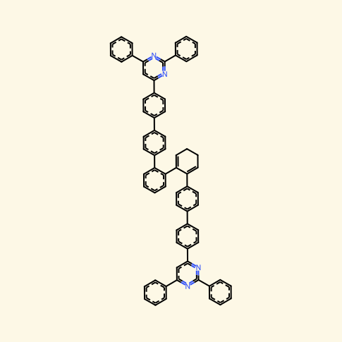 C1=C(c2ccc(-c3ccc(-c4cc(-c5ccccc5)nc(-c5ccccc5)n4)cc3)cc2)C(c2ccccc2-c2ccc(-c3ccc(-c4cc(-c5ccccc5)nc(-c5ccccc5)n4)cc3)cc2)=CCC1